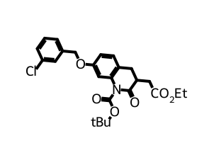 CCOC(=O)CC1Cc2ccc(OCc3cccc(Cl)c3)cc2N(C(=O)OC(C)(C)C)C1=O